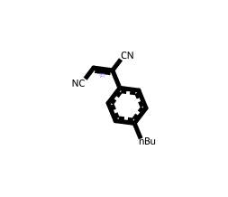 CCCCc1ccc(/C(C#N)=C\C#N)cc1